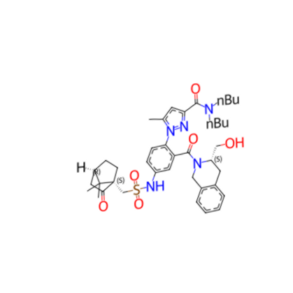 CCCCN(CCCC)C(=O)c1cc(C)n(-c2ccc(NS(=O)(=O)C[C@]34CC[C@H](CC3=O)C4(C)C)cc2C(=O)N2Cc3ccccc3C[C@H]2CO)n1